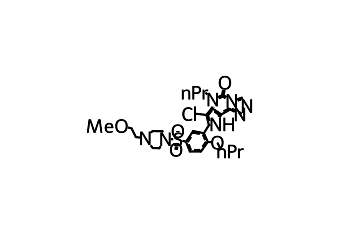 CCCOc1ccc(S(=O)(=O)N2CCN(CCOC)CC2)cc1-c1[nH]c2c(c1Cl)n(CCC)c(=O)n1cnnc21